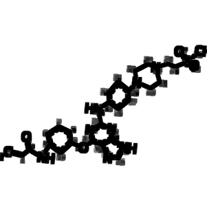 C=CC(=O)Nc1cccc(Oc2nc(Nc3ccc(N4CCN(CCS(C)(=O)=O)CC4)cc3)nc3[nH]cnc23)c1